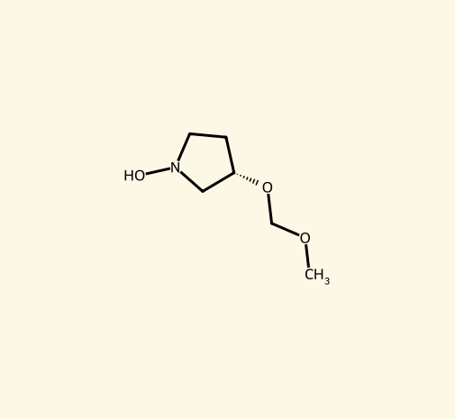 COCO[C@H]1CCN(O)C1